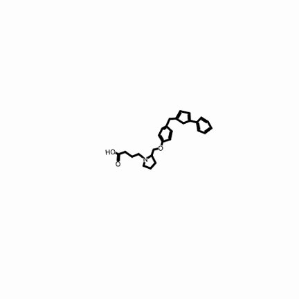 O=C(O)CCCN1CCCC1COc1ccc(CC2=CC=C(c3ccccc3)C2)cc1